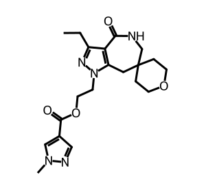 CCc1nn(CCOC(=O)c2cnn(C)c2)c2c1C(=O)NCC1(CCOCC1)C2